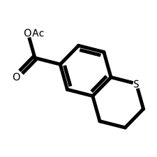 CC(=O)OC(=O)c1ccc2c(c1)CCCS2